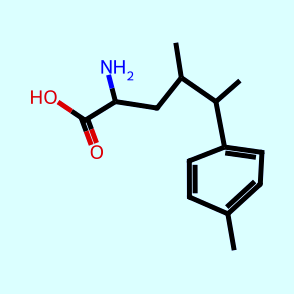 Cc1ccc(C(C)C(C)CC(N)C(=O)O)cc1